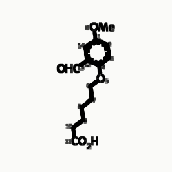 COc1ccc(OCCCCCC(=O)O)c(C=O)c1